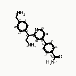 NCc1ccc(C(CN)c2cc(-c3ccc(C(N)=O)cc3)ccn2)cc1